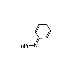 CCCN=C1C=CCC=C1